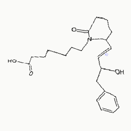 O=C(O)CCCCCCN1C(=O)CCCC1/C=C/C(O)Cc1ccccc1